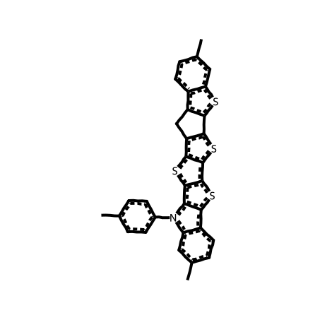 Cc1ccc(-n2c3cc(C)ccc3c3sc4c5sc6c(c5sc4c32)Cc2c-6sc3cc(C)ccc23)cc1